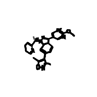 COc1ncc(-c2nn([C@@H](C)c3ccccn3)c3cc(-c4c(C)noc4C)ccc23)cn1